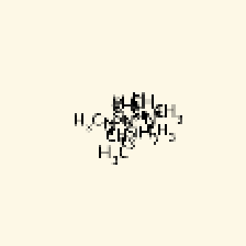 CC[SiH2]N([SiH](C)N(C)C)[SiH](C)N(C)C